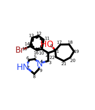 OC1(C(CN2CCNCC2)c2cccc(Br)c2)CCCCCC1